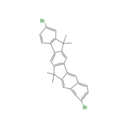 CC1(C)c2cc(Br)ccc2-c2cc3c(cc21)-c1cc2ccc(Br)cc2cc1C3(C)C